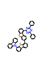 c1ccc(-c2nc(-c3ccccc3)nc(-c3cccc4sc5cc(-c6cccc7c6sc6c(-n8c9ccccc9c9ccccc98)cccc67)ccc5c34)n2)cc1